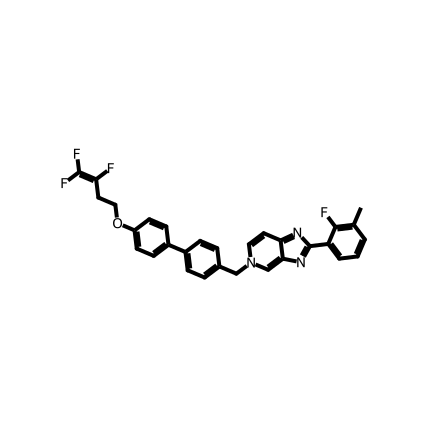 Cc1cccc(-c2nc3ccn(Cc4ccc(-c5ccc(OCCC(F)=C(F)F)cc5)cc4)cc-3n2)c1F